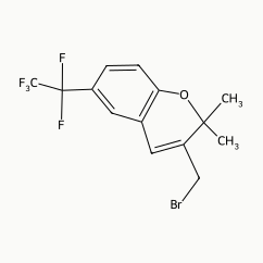 CC1(C)Oc2ccc(C(F)(F)C(F)(F)F)cc2C=C1CBr